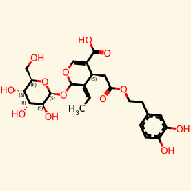 CC=C1C(O[C@@H]2O[C@H](CO)[C@@H](O)[C@@H](O)[C@@H]2O)OC=C(C(=O)O)[C@H]1CC(=O)OCCc1ccc(O)c(O)c1